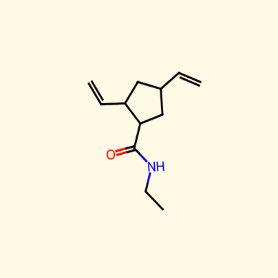 C=CC1CC(C=C)C(C(=O)NCC)C1